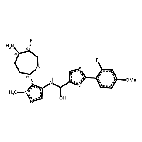 COc1ccc(-c2nc(C(O)Nc3cnn(C)c3[C@@H]3CC[C@@H](N)[C@H](F)CO3)cs2)c(F)c1